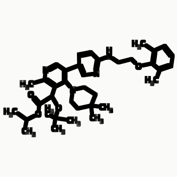 Cc1cccc(C)c1OCCNc1ccc(-c2cnc(C)c(C(OC(C)(C)C)C(=O)OC(C)C)c2N2CCC(C)(C)CC2)cn1